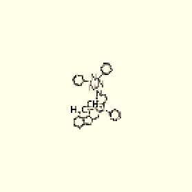 CC1(C)C2=c3ccccc3=CC2=Cc2c(-c3ccccc3)c3ccn(-c4nc(-c5ccccc5)nc(-c5ccccc5)n4)cc-3c21